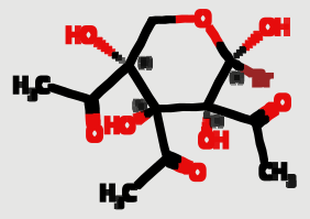 CC(=O)[C@@]1(O)[C@](O)(C(C)=O)[C@@](O)(C(C)=O)CO[C@@]1(O)Br